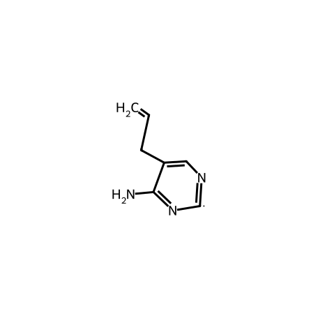 C=CCc1cn[c]nc1N